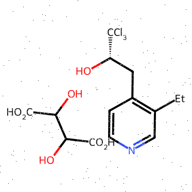 CCc1cnccc1C[C@H](O)C(Cl)(Cl)Cl.O=C(O)C(O)C(O)C(=O)O